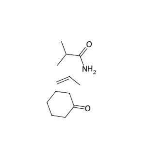 C=CC.CC(C)C(N)=O.O=C1CCCCC1